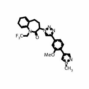 COc1cc(-c2cn(C3CCC4=CCCC=C4N(CC(F)(F)F)C3=O)nn2)ccc1-c1cnn(C)c1